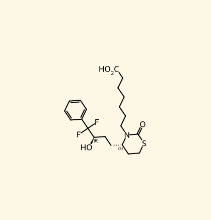 O=C(O)CCCCCCN1C(=O)SCC[C@@H]1CC[C@@H](O)C(F)(F)c1ccccc1